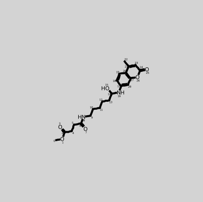 COC(=O)CCC(=O)NCCCCCC(O)Nc1ccc2c(C)cc(=O)oc2c1